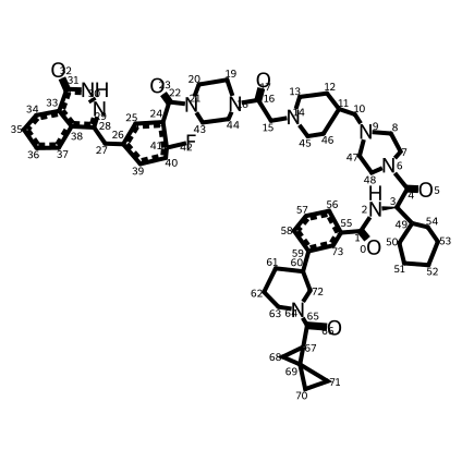 O=C(N[C@@H](C(=O)N1CCN(CC2CCN(CC(=O)N3CCN(C(=O)c4cc(Cc5n[nH]c(=O)c6ccccc56)ccc4F)CC3)CC2)CC1)C1CCCCC1)c1cccc(C2CCCN(C(=O)C3CC34CC4)C2)c1